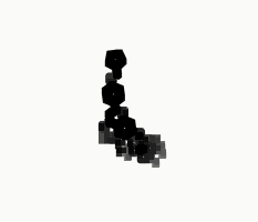 CC(C)(C)[Si](C)(C)Oc1cc(O)c2c(c1)OC(c1ccc(OCC3CCCC3)cc1)CC2=O